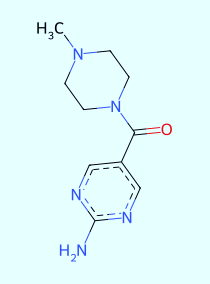 CN1CCN(C(=O)c2cnc(N)nc2)CC1